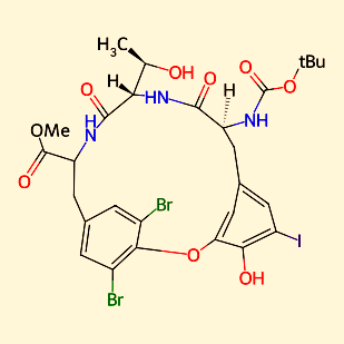 COC(=O)C1Cc2cc(Br)c(c(Br)c2)Oc2cc(cc(I)c2O)C[C@H](NC(=O)OC(C)(C)C)C(=O)N[C@@H]([C@@H](C)O)C(=O)N1